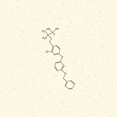 CC(N)(CCc1ccc(Sc2cccc(OCc3ccccc3)c2)cc1Cl)C(O)(O)I